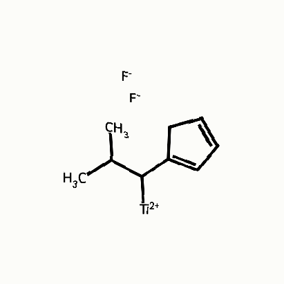 CC(C)[CH]([Ti+2])C1=CC=CC1.[F-].[F-]